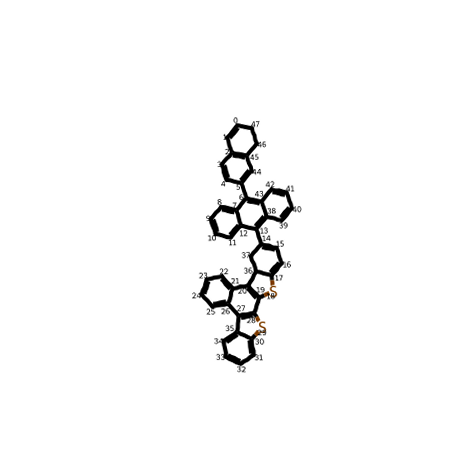 C1=Cc2ccc(-c3c4ccccc4c(C4=CC=C5Sc6c(c7ccccc7c7c6sc6ccccc67)C5C4)c4ccccc34)cc2CC1